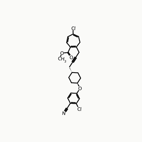 COC(=O)C1=C(CC#CC[C@H]2CC[C@H](Oc3ccc(C#N)c(Cl)c3)CC2)CC=C(Cl)C=C1